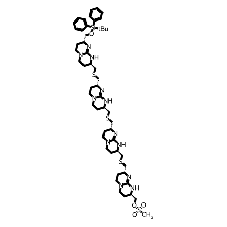 CC(C)(C)[Si](OC[C@H]1CCN2CC[C@H](CSC[C@H]3CCN4CC[C@H](CSC[C@H]5CCN6CC[C@H](CSC[C@H]7CCN8CC[C@H](COS(C)(=O)=O)NC8=N7)NC6=N5)NC4=N3)NC2=N1)(c1ccccc1)c1ccccc1